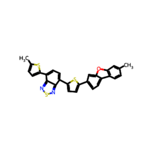 Cc1ccc2c(c1)oc1cc(-c3ccc(-c4ccc(-c5ccc(C)s5)c5nsnc45)s3)ccc12